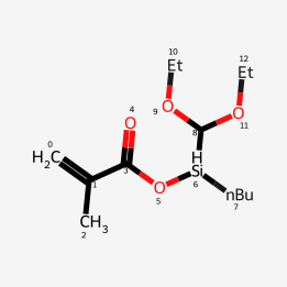 C=C(C)C(=O)O[SiH](CCCC)C(OCC)OCC